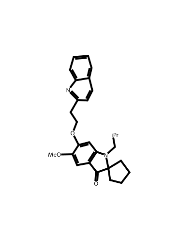 COc1cc2c(cc1OCCc1ccc3ccccc3n1)N(CC(C)C)C1(CCCC1)C2=O